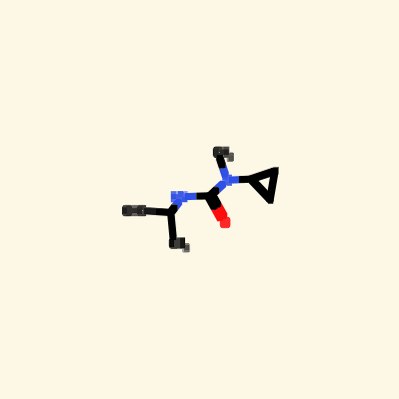 CC(C=O)NC(=O)N(C)C1CC1